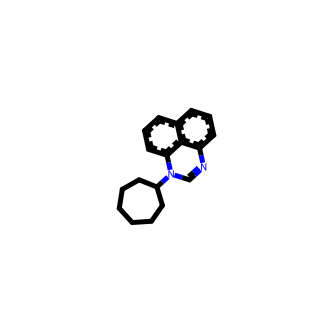 C1=Nc2cccc3cccc(c23)N1C1CCCCCC1